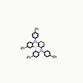 CC(C)c1ccc(N2C3=CCCC4=C3B(c3cc(C(C)C)ccc32)c2cc(C(C)C)ccc2N4c2ccc(C(C)C)cc2)cc1